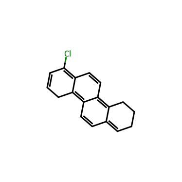 ClC1=c2ccc3c4c(ccc3c2CC=C1)=CCCC4